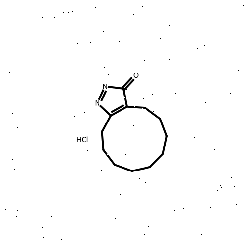 Cl.O=C1N=NC2=C1CCCCCCCCC2